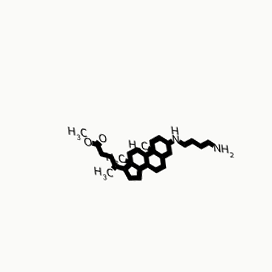 COC(=O)CCC(C)C1CCC2C3CCC4CC(NCCCCN)CCC4(C)C3CCC12C